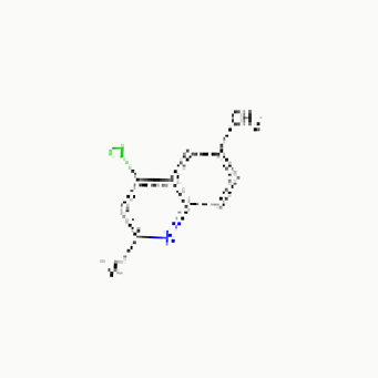 [CH2]c1ccc2nc(C(F)(F)F)cc(Cl)c2c1